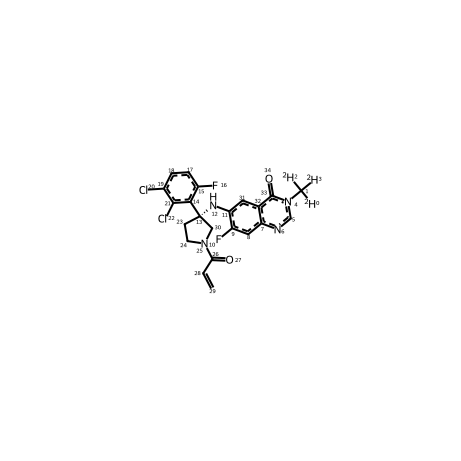 [2H]C([2H])([2H])n1cnc2cc(F)c(N[C@@]3(c4c(F)ccc(Cl)c4Cl)CCN(C(=O)C=C)C3)cc2c1=O